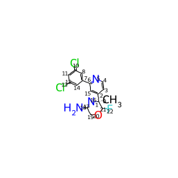 C[C@@]1(c2ccnc(-c3cc(Cl)cc(Cl)c3)c2)N=C(N)CO[C@@H]1F